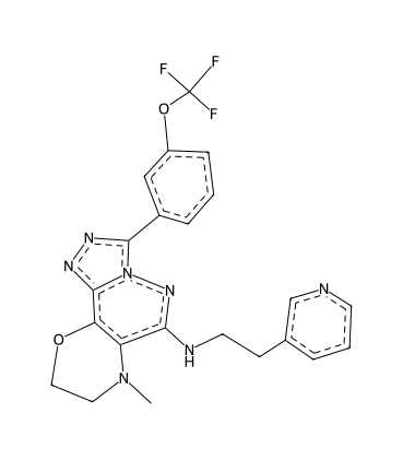 CN1CCOc2c1c(NCCc1cccnc1)nn1c(-c3cccc(OC(F)(F)F)c3)nnc21